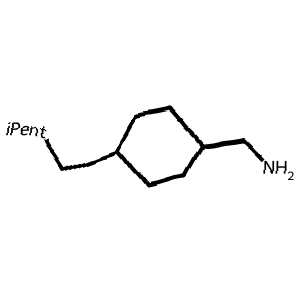 CCCC(C)CC1CCC(CN)CC1